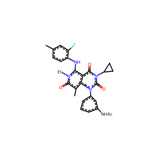 CCn1c(Nc2ccc(C)cc2F)c2c(=O)n(C3CC3)c(=O)n(-c3cccc(NC(C)=O)c3)c2c(C)c1=O